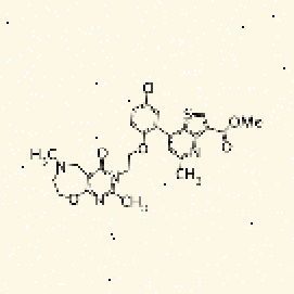 COC(=O)c1csc2c(-c3cc(Cl)ccc3OCCn3c(C)nc4c(c3=O)CN(C)CCO4)cc(C)nc12